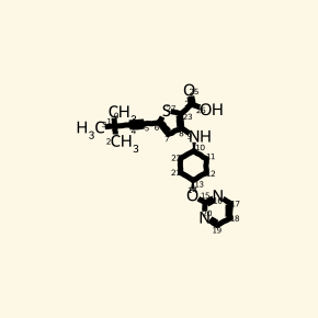 CC(C)(C)C#Cc1cc(N[C@H]2CC[C@@H](Oc3ncccn3)CC2)c(C(=O)O)s1